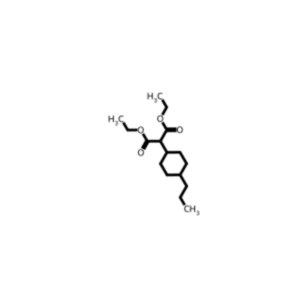 CCCC1CCC(C(C(=O)OCC)C(=O)OCC)CC1